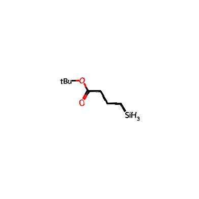 CC(C)(C)OC(=O)CCC[SiH3]